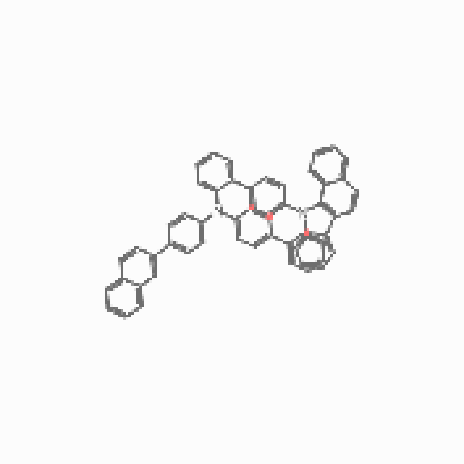 c1ccc(-c2ccc(N(c3ccc(-c4ccc5ccccc5c4)cc3)c3ccccc3-c3ccc(-n4c5ccccc5c5ccc6ccccc6c54)cc3)cc2)cc1